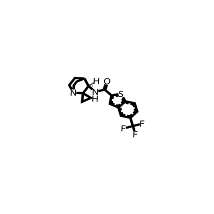 O=C(N[C@@H]1C2CCN(CC2)C12CC2)c1cc2cc(C(F)(F)F)ccc2s1